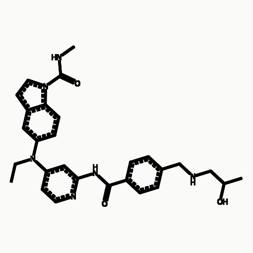 CCN(c1ccnc(NC(=O)c2ccc(CNCC(C)O)cc2)c1)c1ccc2c(ccn2C(=O)NC)c1